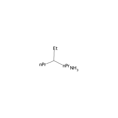 CCCC(CC)CCC.N